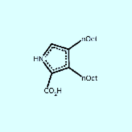 CCCCCCCCc1c[nH]c(C(=O)O)c1CCCCCCCC